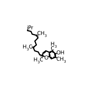 Cc1cc2c(c(C)c1O)C=C[C@@](C)(CCC[C@H](C)CCC[C@H](C)CCCC(C)C)O2